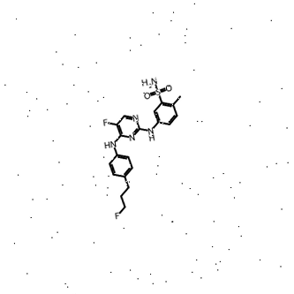 Cc1ccc(Nc2ncc(F)c(Nc3ccc(CCCF)cc3)n2)cc1S(N)(=O)=O